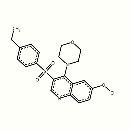 CCc1ccc(S(=O)(=O)c2cnc3ccc(OC)cc3c2N2CCOCC2)cc1